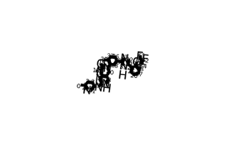 Cc1ccc(Nc2ncc3c(n2)N(C)C(=O)N(c2cc(-c4ncc(-c5ccccc5OC(F)(F)F)[nH]4)ccc2C)C3)cn1